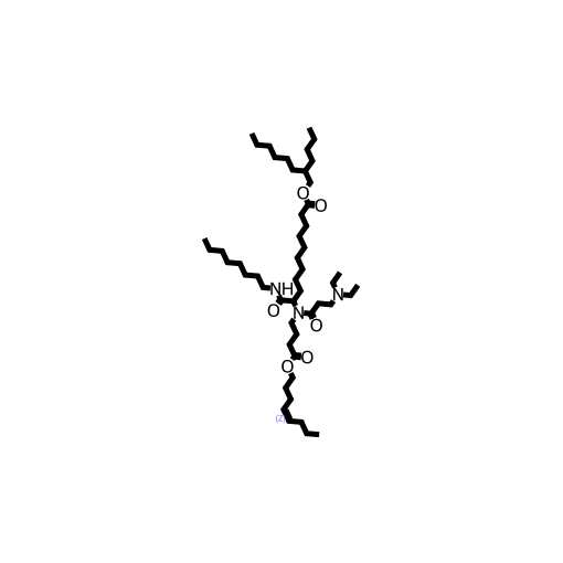 CCC/C=C\CCCOC(=O)CCCN(C(=O)CCN(CC)CC)C(CCCCCCCCC(=O)OCC(CCCC)CCCCCC)C(=O)NCCCCCCCC